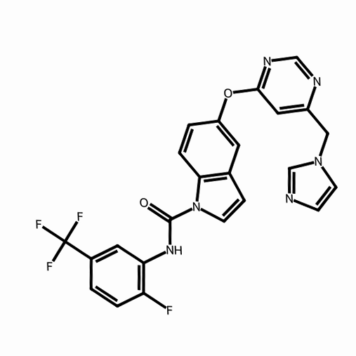 O=C(Nc1cc(C(F)(F)F)ccc1F)n1ccc2cc(Oc3cc(Cn4ccnc4)ncn3)ccc21